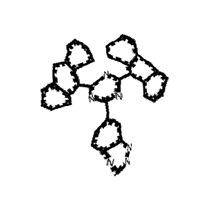 c1ccc2c(-c3nc(-c4ccc5ncnnc5c4)nc(-c4c5ccccc5cc5ccccc45)n3)c3ccccc3cc2c1